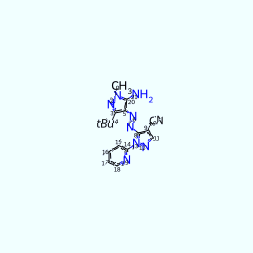 Cn1nc(C(C)(C)C)c(/N=N/c2c(C#N)cnn2-c2ccccn2)c1N